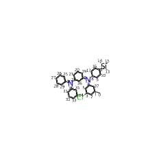 Cc1cc(Cl)cc(N(c2ccc([Si](C)(C)C)cc2)c2cccc(N(c3ccccc3)c3ccccc3)c2)c1